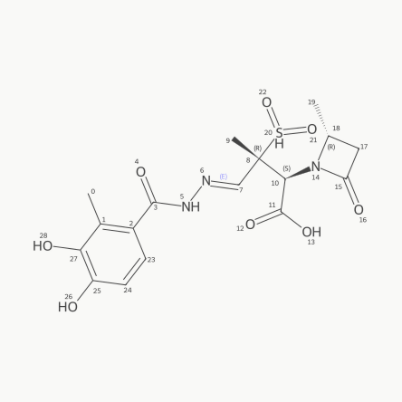 Cc1c(C(=O)N/N=C/[C@@](C)([C@H](C(=O)O)N2C(=O)C[C@H]2C)[SH](=O)=O)ccc(O)c1O